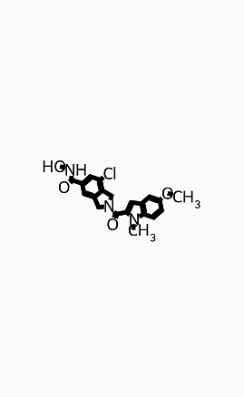 COc1ccc2c(c1)cc(C(=O)N1Cc3cc(C(=O)NO)cc(Cl)c3C1)n2C